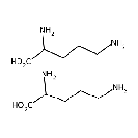 NCCCC(N)C(=O)O.NCCCC(N)C(=O)O